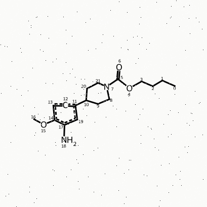 CCCCOC(=O)N1CCC(c2ccc(OC)c(N)c2)CC1